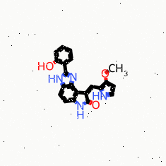 COc1cc[nH]c1/C=C1\C(=O)Nc2ccc3[nH]c(-c4ccccc4O)nc3c21